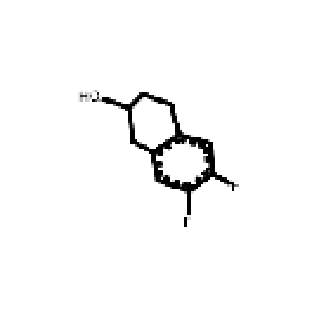 OC1CCc2cc(F)c(F)cc2C1